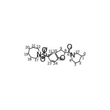 CC1CCCN(C(=O)C2Cc3cc(S(=O)(=O)N4CCCCCC4)ccc3O2)C1